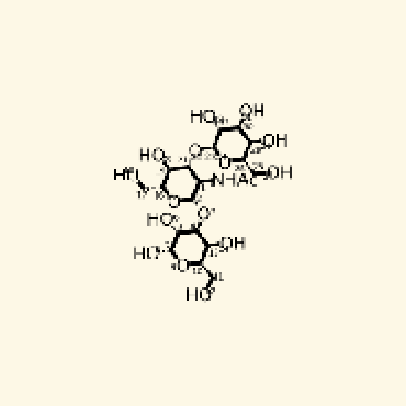 CC(=O)N[C@H]1[C@H](O[C@@H]2[C@@H](O)[C@@H](O)O[C@H](CO)[C@@H]2O)O[C@H](CO)[C@@H](O)[C@@H]1O[C@@H]1O[C@H](CO)[C@H](O)[C@H](O)[C@H]1O